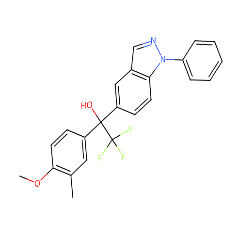 COc1ccc(C(O)(c2ccc3c(cnn3-c3ccccc3)c2)C(F)(F)F)cc1C